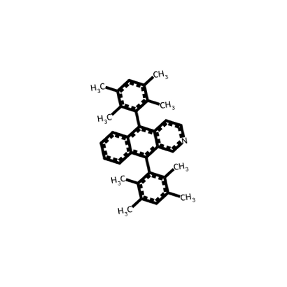 Cc1cc(C)c(C)c(-c2c3ccccc3c(-c3c(C)c(C)cc(C)c3C)c3cnccc23)c1C